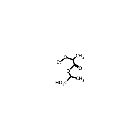 CCOC(C)C(=O)OC(C)C(=O)O